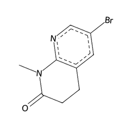 CN1C(=O)CCc2cc(Br)cnc21